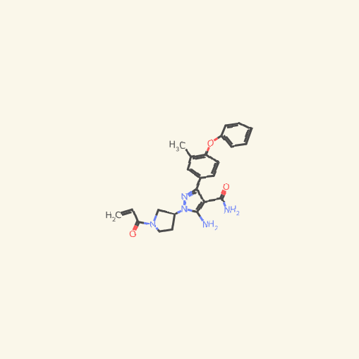 C=CC(=O)N1CCC(n2nc(-c3ccc(Oc4ccccc4)c(C)c3)c(C(N)=O)c2N)C1